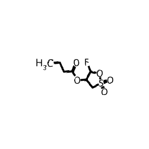 CCCC(=O)OC1CS(=O)(=O)OC1F